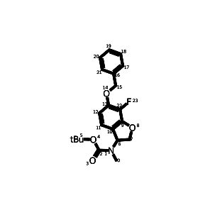 CN(C(=O)OC(C)(C)C)C1COc2c1ccc(OCc1ccccc1)c2F